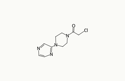 O=C(CCl)N1CCN(c2cnccn2)CC1